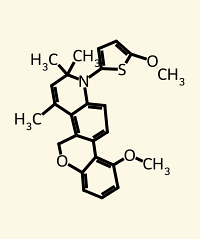 COc1ccc(N2c3ccc4c(c3C(C)=CC2(C)C)COc2cccc(OC)c2-4)s1